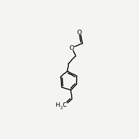 C=Cc1ccc(CCOC=O)cc1